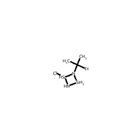 CCC(C)(C)N1[SiH2]N[SiH]1Cl